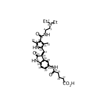 CCN(CC)CCNC(=O)c1c(C)[nH]c(/C=C2\C(=O)Nc3ccc(NC(=O)CCCC(=O)O)cc32)c1C